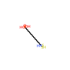 O=P(O)(O)CCCCCCCCCCCCCCCCCCCCCCNC(=S)S